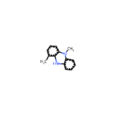 Cc1cccc2c1Nc1ccccc1N2C